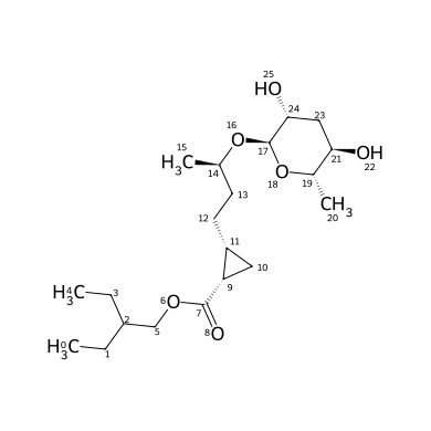 CCC(CC)COC(=O)[C@H]1C[C@H]1CC[C@@H](C)O[C@@H]1O[C@@H](C)[C@H](O)C[C@H]1O